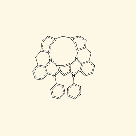 c1ccc(-n2c3cc4c5cc3n3c6c(cccc62)Cc2ccc(cc2-3)Cc2ccc3c(c2)-n5c2c(cccc2n4-c2ccccc2)C3)cc1